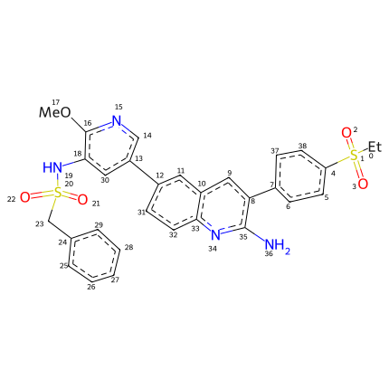 CCS(=O)(=O)c1ccc(-c2cc3cc(-c4cnc(OC)c(NS(=O)(=O)Cc5ccccc5)c4)ccc3nc2N)cc1